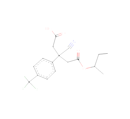 CCC(C)OC(=O)CC(C#N)(CC(=O)O)c1ccc(C(F)(F)F)cc1